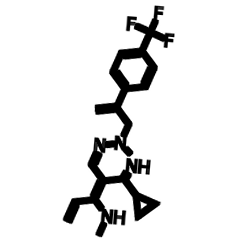 C=C/C(NC)=C(\C=N/N(C)CC(=C)c1ccc(C(F)(F)F)cc1)C(=N)C1CC1